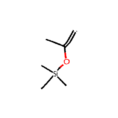 [CH]=C(C)O[Si](C)(C)C